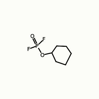 O=P(F)(F)OC1CCCCC1